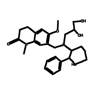 COc1cc2c(cc1CN(CC(O)CO)C1CCCNC1c1ccccc1)N(C)C(=O)CC2